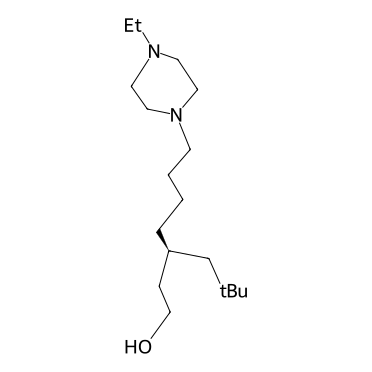 CCN1CCN(CCCC[C@H](CCO)CC(C)(C)C)CC1